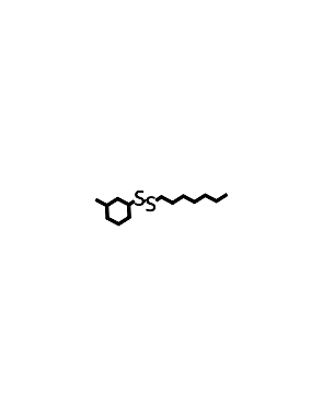 CCCCCCCSSC1CCCC(C)C1